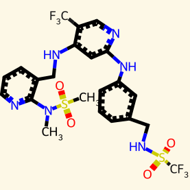 CN(c1ncccc1CNc1cc(Nc2cccc(CNS(=O)(=O)C(F)(F)F)c2)ncc1C(F)(F)F)S(C)(=O)=O